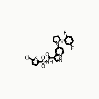 O=C(NS(=O)(=O)c1ccc(Cl)s1)c1cnn2ccc(N3CCC[C@@H]3c3cc(F)ccc3F)cc12